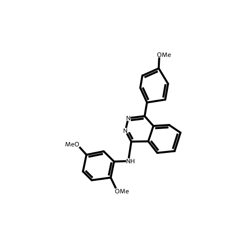 COc1ccc(-c2nnc(Nc3cc(OC)ccc3OC)c3ccccc23)cc1